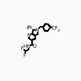 CC(C)[C@H]1c2ncc(C(=O)NCC(F)F)cc2CN1Cc1ccc(C(F)(F)F)cc1